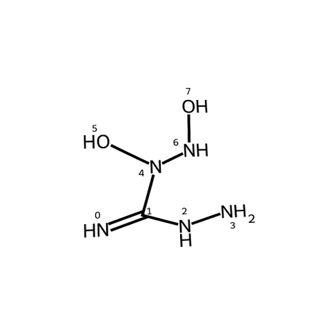 N=C(NN)N(O)NO